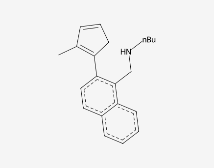 CCCCNCc1c(C2=C(C)C=CC2)ccc2ccccc12